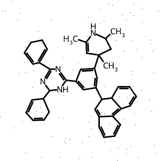 CC1=CC(C)(c2cc(C3=NC(C4=CCCC=C4)=NC(C4C=CC=CC4)N3)cc(C3C=c4ccccc4=C4C=CC=CC43)c2)CC(C)N1